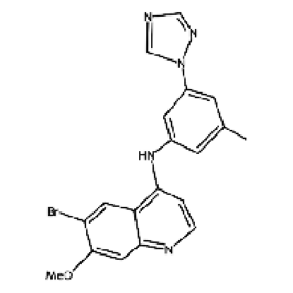 COc1cc2nccc(Nc3cc(C)cc(-n4cncn4)c3)c2cc1Br